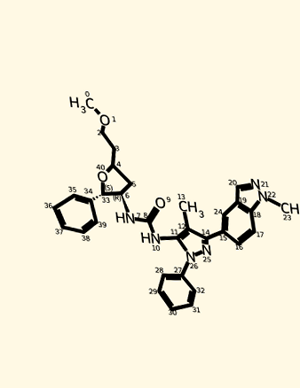 COCCC1C[C@@H](NC(=O)Nc2c(C)c(-c3ccc4c(cnn4C)c3)nn2-c2ccccc2)[C@H](c2ccccc2)O1